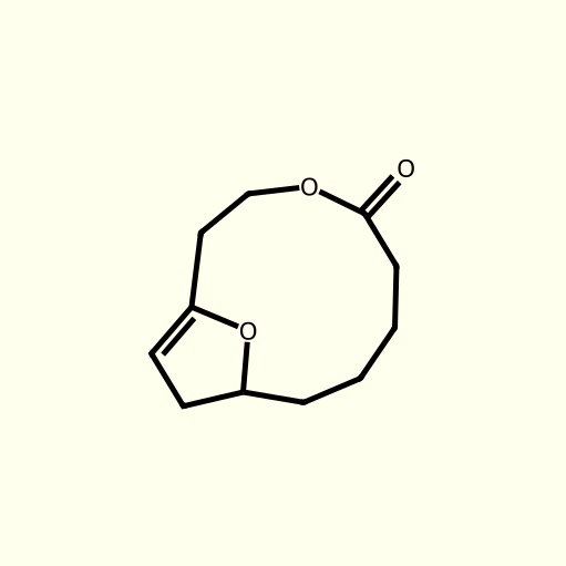 O=C1CCCCC2CC=C(CCO1)O2